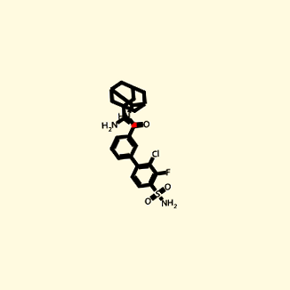 NC(=O)C12CC3CC(C1)C(NC(=O)c1cccc(-c4ccc(S(N)(=O)=O)c(F)c4Cl)c1)C(C3)C2